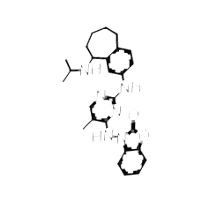 Cc1cnc(Nc2ccc3c(c2)C(NC(C)C)CCCC3)nc1Nn1c(=O)oc2ccccc21